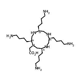 NCCCC[C@H]1CN[C@@H](CCCCN)CN(CC(=O)O)[C@@H](CCCCN)CN[C@@H](CCCCN)CN1